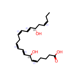 CC/C=C\C[C@H](O)/C=C/C=C\C/C=C\C=C\[C@@H](O)/C=C\CCCC(=O)O